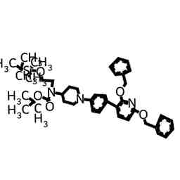 CC(C)(C)OC(=O)N(CCO[Si](C)(C)C(C)(C)C)C1CCN(c2ccc(-c3ccc(OCc4ccccc4)nc3OCc3ccccc3)cc2)CC1